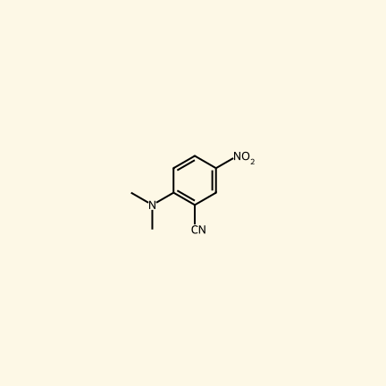 CN(C)c1ccc([N+](=O)[O-])cc1C#N